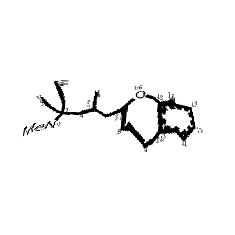 CNC(C)(C)CC(C)C1C=Cc2ccccc2O1